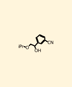 CC(C)OCC(O)c1cccc(C#N)c1